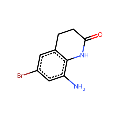 Nc1cc(Br)cc2c1NC(=O)CC2